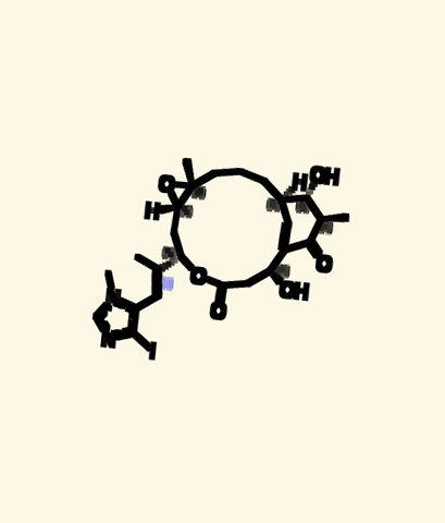 C/C(=C\c1c(I)ncn1C)[C@@H]1C[C@@H]2O[C@]2(C)CCC[C@@H]2C=C(C(=O)[C@H](C)[C@H]2O)[C@@H](O)CC(=O)O1